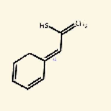 C=C(S)/C=C1/C=CC=CC1